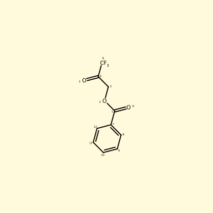 O=C(OCC(=O)C(F)(F)F)c1ccccc1